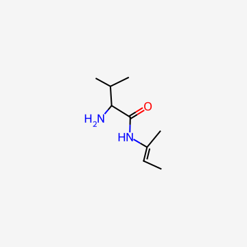 C/C=C(\C)NC(=O)C(N)C(C)C